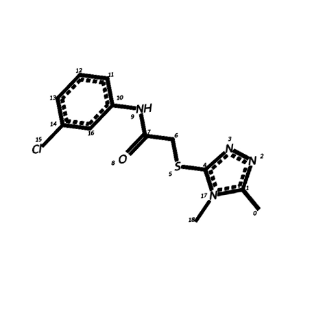 Cc1nnc(SCC(=O)Nc2cccc(Cl)c2)n1C